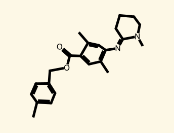 Cc1ccc(COC(=O)c2cc(C)c(/N=C3\CCCCN3C)cc2C)cc1